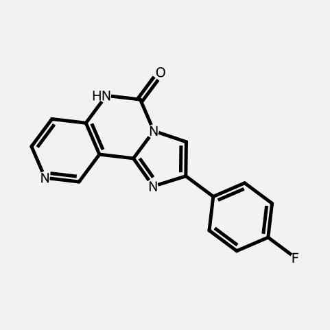 O=c1[nH]c2ccncc2c2nc(-c3ccc(F)cc3)cn12